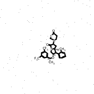 Cc1ccccc1C1[C@@H](O[C@H](C)c2cc(C(F)(F)F)cc(C(F)(F)F)c2)CN2C(=O)C(N3CCC(=O)CC3)C[C@@H]12